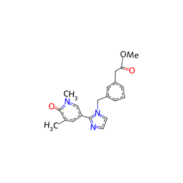 COC(=O)Cc1cccc(Cn2ccnc2-c2cc(C)c(=O)n(C)c2)c1